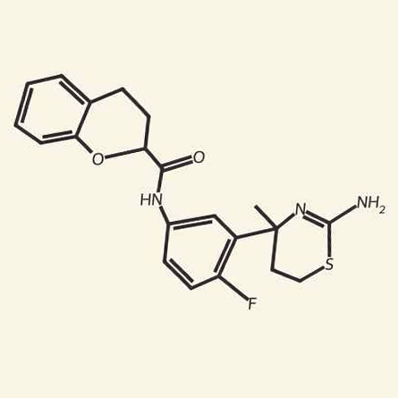 CC1(c2cc(NC(=O)C3CCc4ccccc4O3)ccc2F)CCSC(N)=N1